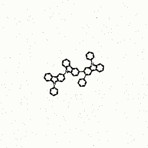 c1ccc(-c2cc3c4ccccc4n(-c4ccccc4)c3cc2-c2ccc3c(c2)c2ccccc2n3-c2ccc3c(c2)c2ccccc2n3-c2ccccc2)cc1